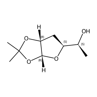 C[C@H](O)[C@@H]1C[C@H]2OC(C)(C)O[C@H]2O1